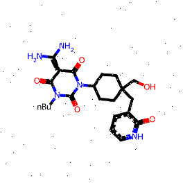 CCCCN1C(=O)C(=C(N)N)C(=O)N(C2CCC(CO)(Cc3ccc[nH]c3=O)CC2)C1=O